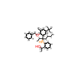 CCCCC(CC)(Pc1ccccc1C(C)O)c1cc(C(C)(C)C)cc(C)c1OCc1ccccc1